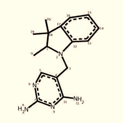 CC1N(Cc2cnc(N)nc2N)c2ccccc2C1(C)C